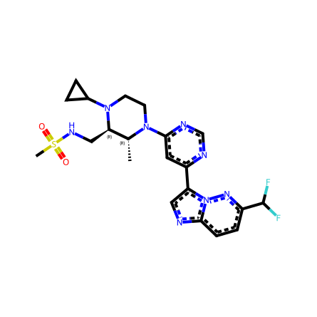 C[C@@H]1[C@@H](CNS(C)(=O)=O)N(C2CC2)CCN1c1cc(-c2cnc3ccc(C(F)F)nn23)ncn1